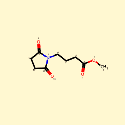 COC(=O)CCCN1C(=O)CCC1=O